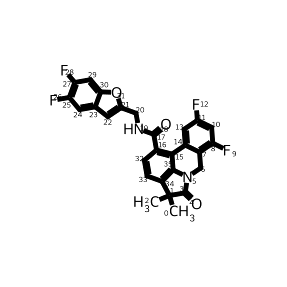 CC1(C)C(=O)N2Cc3c(F)cc(F)cc3-c3c(C(=O)NCc4cc5cc(F)c(F)cc5o4)ccc1c32